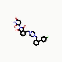 O=C1CCC(N2C(=O)c3cccc(CN4CCN(CC5=C(c6ccc(F)cc6)CCCC5)CC4)c3C2=O)C(=O)N1